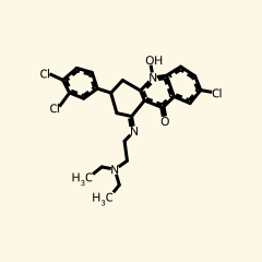 CCN(CC)CC/N=C1\CC(c2ccc(Cl)c(Cl)c2)Cc2c1c(=O)c1cc(Cl)ccc1n2O